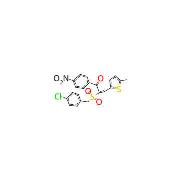 Cc1ccc(/C=C(\C(=O)c2ccc([N+](=O)[O-])cc2)S(=O)(=O)Cc2ccc(Cl)cc2)s1